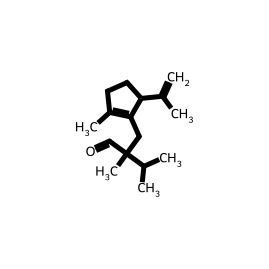 C=C(C)C1CCC(C)=C1CC(C)(C=O)C(C)C